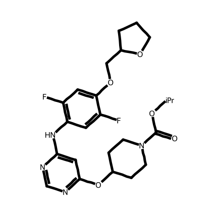 CC(C)OC(=O)N1CCC(Oc2cc(Nc3cc(F)c(OCC4CCCO4)cc3F)ncn2)CC1